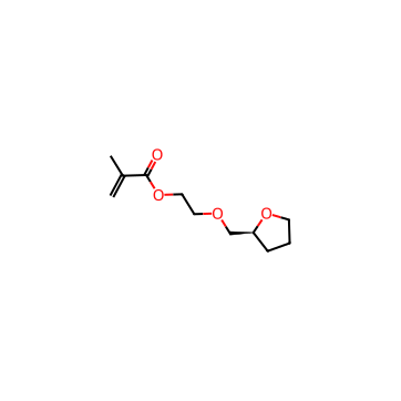 C=C(C)C(=O)OCCOC[C@@H]1CCCO1